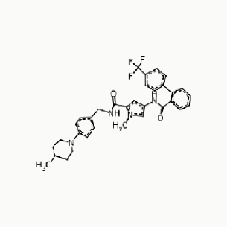 CC1CCN(c2ccc(CNC(=O)c3cc(NC(=O)c4ccccc4-c4ccc(C(F)(F)F)cc4)cn3C)cc2)CC1